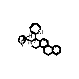 C1=CC=C([C@H]2c3ccc4c(c3CC[C@@H]2[C@@H]2CN3CCC2CC3)CCc2ccccc2-4)NC=C1